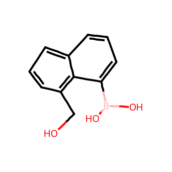 OCc1cccc2cccc(B(O)O)c12